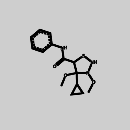 CON1NSC(C(=O)Nc2ccccc2)C1(OC)C1CC1